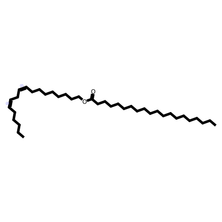 CCCCC/C=C\C/C=C\CCCCCCCCOC(=O)CCCCCCCCCCCCCCCCCCC